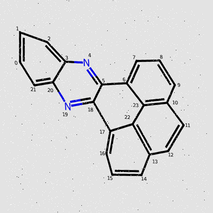 c1ccc2nc3c4cccc5ccc6cccc(c3nc2c1)c6c54